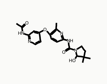 CC(=O)Nc1cc(Oc2ccc(NC(=O)N3CCC(C)(C)C3O)nc2C)ccn1